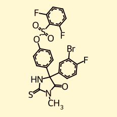 CN1C(=O)C(c2ccc(OS(=O)(=O)c3c(F)cccc3F)cc2)(c2ccc(F)c(Br)c2)NC1=S